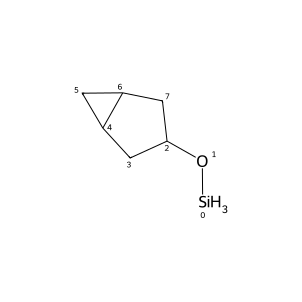 [SiH3]OC1CC2CC2C1